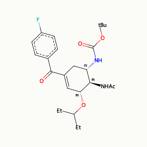 CCC(CC)O[C@@H]1C=C(C(=O)c2ccc(F)cc2)C[C@H](NC(=O)OC(C)(C)C)[C@H]1NC(C)=O